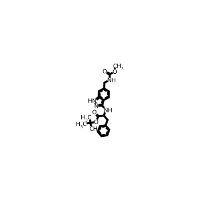 COC(=O)NCc1ccc2c(NC(Cc3ccccc3)C(=O)OC(C)(C)C)n[nH]c2c1